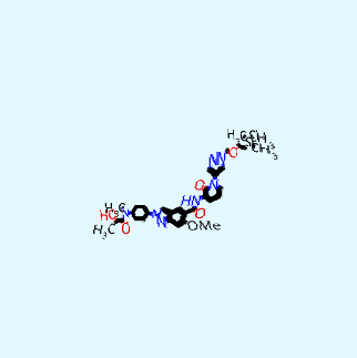 COc1cc2nn(C3CCC(N(C)C(=O)[C@@H](C)O)CC3)cc2cc1C(=O)Nc1cccn(-c2cnn(COCC[Si](C)(C)C)c2)c1=O